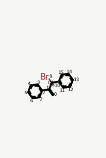 C=C(c1ccccc1)[C@@H](Br)c1ccccc1